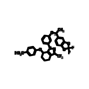 C[C@H](Oc1cccc(-n2nc(C(F)(F)F)c3c2C(Oc2ccc(C(=O)O)cc2)CCC3)c1)c1ccc2c(c1)OC(F)(F)O2